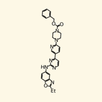 CCc1nc2cc(Nc3nccc(-c4ccc(N5CCN(C(=O)OCc6ccccc6)CC5)nc4)n3)ccc2o1